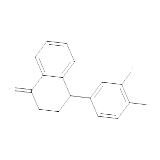 O=C1CCC(c2ccc(F)c(F)c2)c2ccccc21